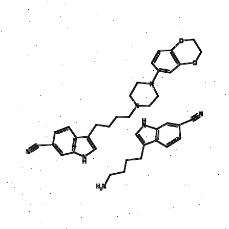 N#Cc1ccc2c(CCCCN)c[nH]c2c1.N#Cc1ccc2c(CCCCN3CCN(c4ccc5c(c4)OCCO5)CC3)c[nH]c2c1